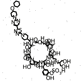 C[C@@H](O)[C@@H]1NC(=O)[C@@H](NCC2CCN(c3nnc(-c4cnc(N5CCC(OC6CCCCC6)CC5)nc4)s3)CC2)C[C@@H](O)CNC(=O)[C@@H]2[C@@H](O)[C@@H](C)CN2C(=O)[C@H]([C@H](O)CCNC(CO)CO)NC(=O)[C@H]([C@H](O)Cc2ccc(O)c(OS(=O)(=O)O)c2)NC(=O)[C@@H]2C[C@@H](O)CN2C1=O